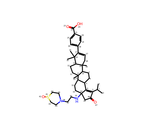 CC(C)C1=C2C3CCC4C(C)(CCC5C(C)(C)C(c6ccc(C(=O)O)cc6)=CCC54C)C3CCC2(NCCN2CC[S+]([O-])CC2)CC1=O